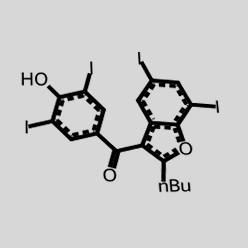 CCCCc1oc2c(I)cc(I)cc2c1C(=O)c1cc(I)c(O)c(I)c1